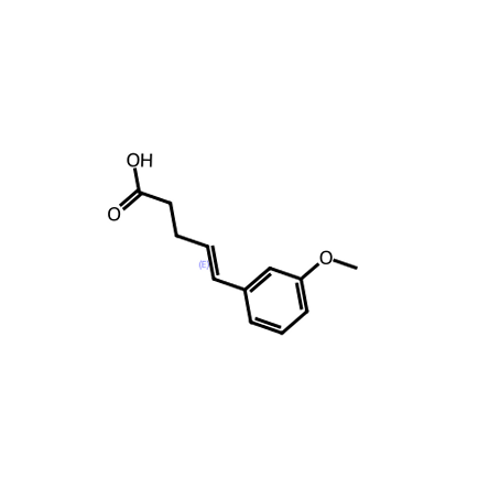 COc1cccc(/C=C/CCC(=O)O)c1